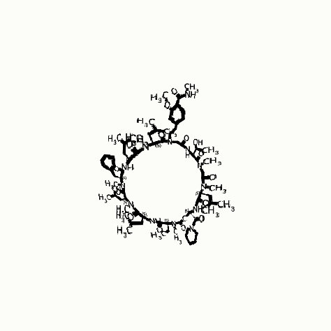 CC[C@H]1C(=O)N[C@@H](CC(C)C)C(=O)N(C)[C@@H](CC(C)C)C(=O)N(C)[C@@H](Cc2ccccc2)C(=O)N[C@@H](CC(C)C)C(=O)N(C)[C@@H](CC(C)C)C(=O)N(CCc2ccc(C(=O)NC)c(OC)c2)CC(=O)N[C@@H](C(C)O)C(=O)N(C)CC(=O)N(C)[C@@H](CC(C)C)C(=O)N[C@H](C(=O)N2CCCCC2)CC(=O)N1C